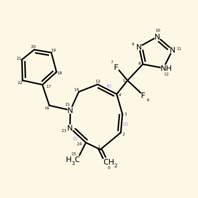 C=C1/C=C\C(C(F)(F)c2nnn[nH]2)=C/CN(Cc2ccccc2)/N=C\1C